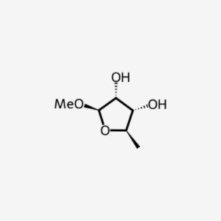 CO[C@@H]1O[C@H](C)[C@@H](O)[C@H]1O